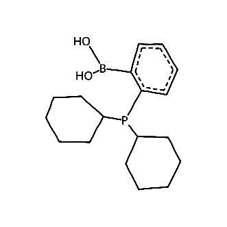 OB(O)c1ccccc1P(C1CCCCC1)C1CCCCC1